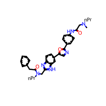 CCCN(C)CC(=O)Nc1ccc(-c2ncc(-c3ccc4nc(CN(CCC)C(=O)Cc5ccccc5)[nH]c4c3)o2)cc1